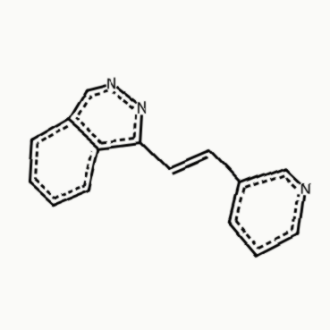 C(=Cc1nncc2ccccc12)c1cccnc1